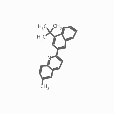 Cc1ccc2nc(-c3cc(C(C)(C)C)c4ccccc4c3)ccc2c1